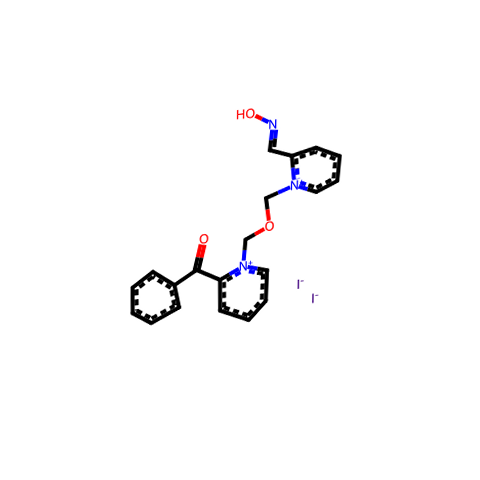 O=C(c1ccccc1)c1cccc[n+]1COC[n+]1ccccc1C=NO.[I-].[I-]